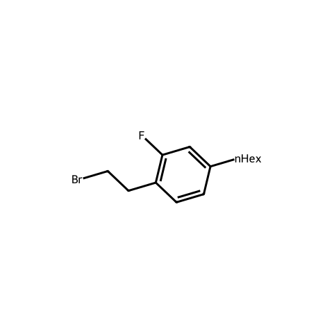 CCCCCCc1ccc(CCBr)c(F)c1